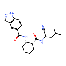 CC(C)C[C@@H](C#N)NC(=O)[C@@H]1CCCC[C@@H]1NC(=O)c1ccc2[nH]ncc2c1